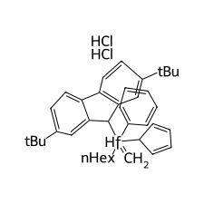 Cl.Cl.[CH2]=[Hf]([CH2]CCCCC)([c]1ccccc1)([CH]1C=CC=C1)[CH]1c2cc(C(C)(C)C)ccc2-c2ccc(C(C)(C)C)cc21